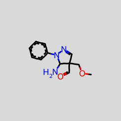 COCC1(C=O)C=NN(c2ccccc2)C1N